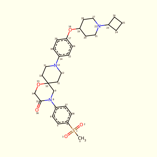 CS(=O)(=O)c1ccc(N2CC3(CCN(c4ccc(OC5CCN(C6CCC6)CC5)cc4)CC3)OCC2=O)cc1